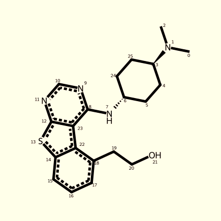 CN(C)[C@H]1CC[C@H](Nc2ncnc3sc4cccc(CCO)c4c23)CC1